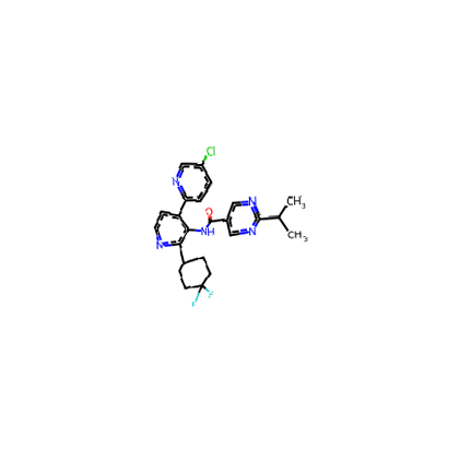 CC(C)c1ncc(C(=O)Nc2c(-c3ccc(Cl)cn3)ccnc2C2CCC(F)(F)CC2)cn1